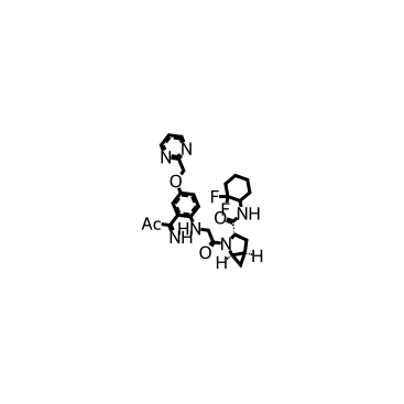 CC(=O)C(=N)c1cc(OCc2ncccn2)ccc1NCC(=O)N1[C@@H]2C[C@@H]2C[C@H]1C(=O)NC1CCCCC1(F)F